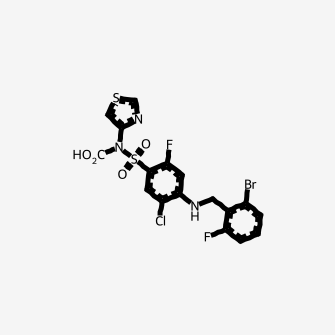 O=C(O)N(c1cscn1)S(=O)(=O)c1cc(Cl)c(NCc2c(F)cccc2Br)cc1F